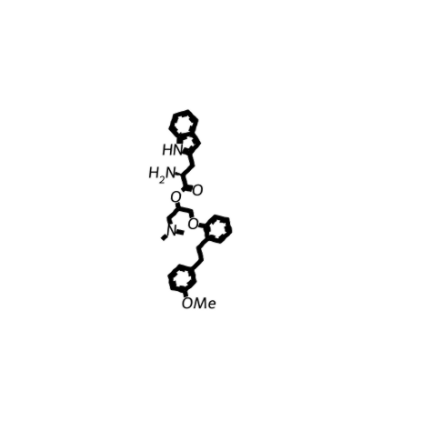 COc1cccc(CCc2ccccc2OCC(CN(C)C)OC(=O)[C@@H](N)Cc2cc3ccccc3[nH]2)c1